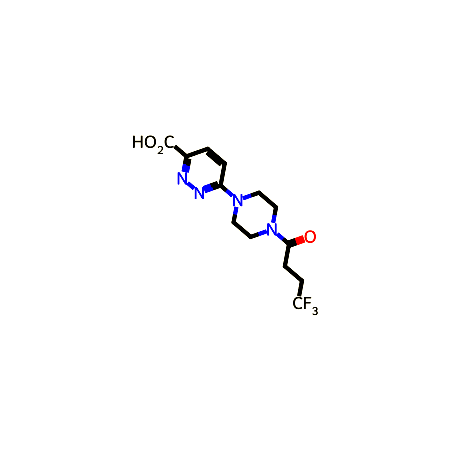 O=C(O)c1ccc(N2CCN(C(=O)CCC(F)(F)F)CC2)nn1